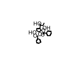 CC(O)C(O)C1=CC(O)C(OC(=O)c2ccccc2)C1OC(=O)c1ccccc1